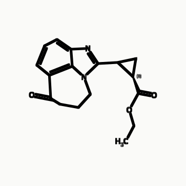 CCOC(=O)[C@@H]1CC1c1nc2cccc3c2n1CCCC3=O